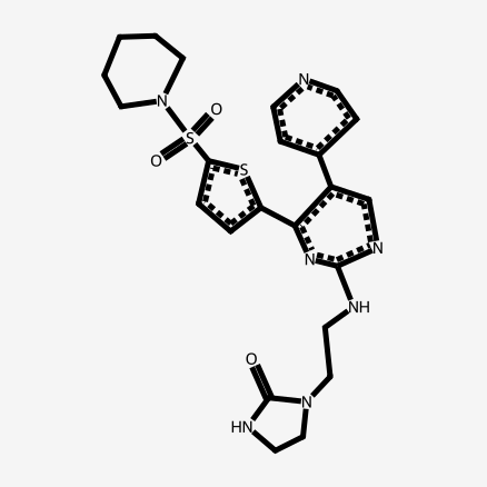 O=C1NCCN1CCNc1ncc(-c2ccncc2)c(-c2ccc(S(=O)(=O)N3CCCCC3)s2)n1